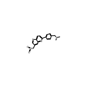 CN(C)Cc1ccc(-c2ccc3ncc(C[SH](=O)=O)cc3n2)cc1